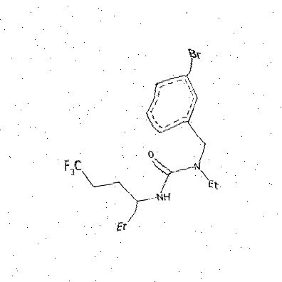 CCC(CCC(F)(F)F)NC(=O)N(CC)Cc1cccc(Br)c1